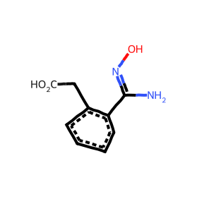 NC(=NO)c1ccccc1CC(=O)O